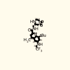 Cc1cc(C(=O)NC[C@@H]2CS(=O)(=O)CCN2)nc2c(C(C)(C)C)cc(NCC(F)(F)F)cc12